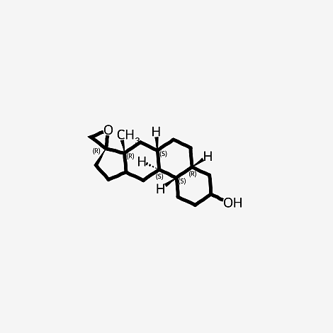 C[C@@]12C[C@@H]3CC[C@@H]4CC(O)CC[C@@H]4[C@H]3CC1CC[C@]21CO1